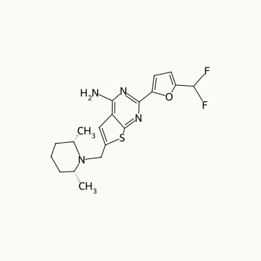 C[C@@H]1CCC[C@H](C)N1Cc1cc2c(N)nc(-c3ccc(C(F)F)o3)nc2s1